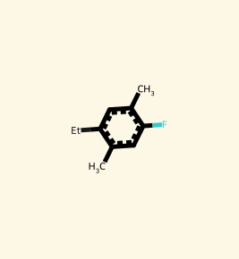 [CH2]Cc1cc(C)c(F)cc1C